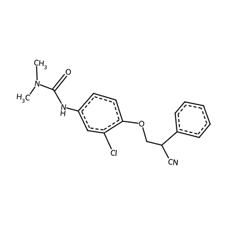 CN(C)C(=O)Nc1ccc(OCC(C#N)c2ccccc2)c(Cl)c1